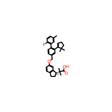 Cc1ccc(F)c(-c2ccc(COc3ccc4c(c3)[C@@H](C(C)(C)C(=O)O)CC4)cc2C2=CCCC2(C)C)c1